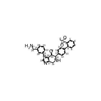 CS(=O)(=O)c1ccccc1-c1ccc(C2NCc3ncn(-c4cccc(CN)c4)c3C2=O)cc1